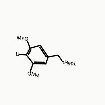 [Li][c]1c(OC)cc(CCCCCCCC)cc1OC